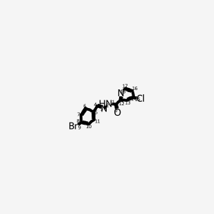 O=C(NN=Cc1ccc(Br)cc1)c1cc(Cl)ccn1